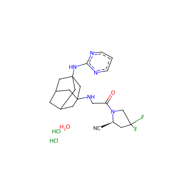 Cl.Cl.N#C[C@@H]1CC(F)(F)CN1C(=O)CNC12CC3CC(C1)CC(Nc1ncccn1)(C3)C2.O